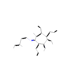 C=C/C=c1/c(C=C)c(C)c(=N\C=C/C(C)=C/C)/c(=C/C=C)c(=C\C)/c1=CC